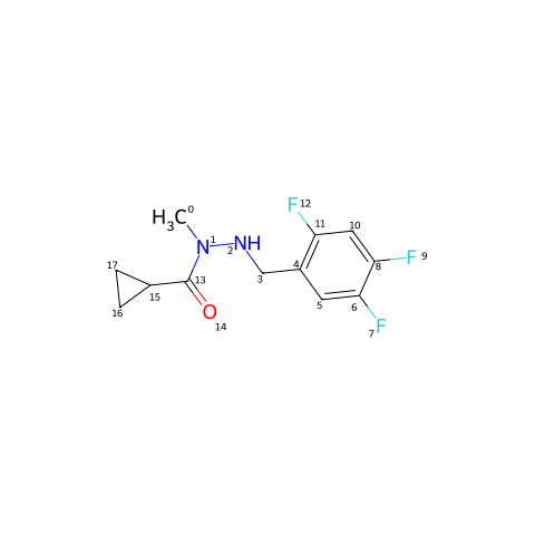 CN(NCc1cc(F)c(F)cc1F)C(=O)C1CC1